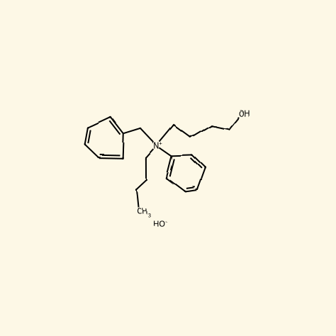 CCCC[N+](CCCCO)(Cc1ccccc1)c1ccccc1.[OH-]